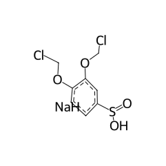 O=S(O)c1ccc(OCCl)c(OCCl)c1.[NaH]